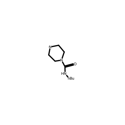 CCCCNC(=O)N1CC[N]CC1